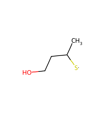 CC([S])CCO